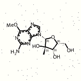 COc1nc(N)nc2c1ncn2[C@@H]1O[C@H](CO)[C@H](O)[C@]1(C)O